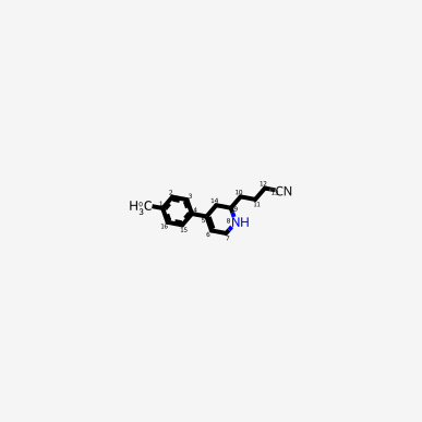 Cc1ccc(C2=CCNC(CCCC#N)C2)cc1